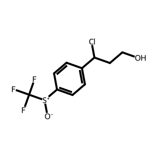 [O-][S+](c1ccc(C(Cl)CCO)cc1)C(F)(F)F